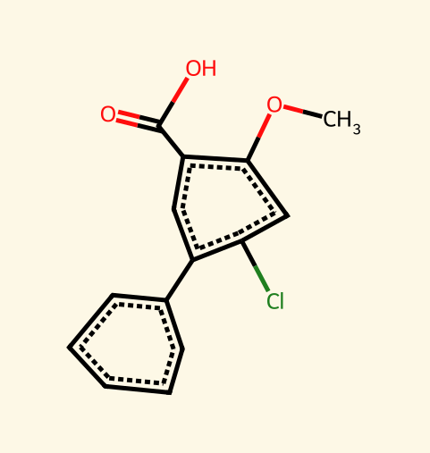 COc1cc(Cl)c(-c2ccccc2)cc1C(=O)O